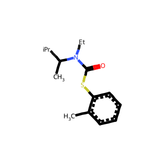 CCN(C(=O)Sc1ccccc1C)C(C)C(C)C